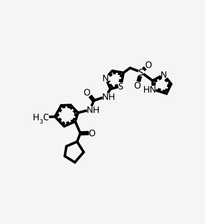 Cc1ccc(NC(=O)Nc2ncc(CS(=O)(=O)c3ncc[nH]3)s2)c(C(=O)C2CCCC2)c1